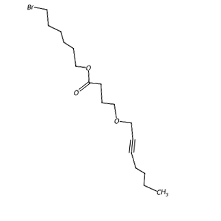 CCCCC#CCOCCCC(=O)OCCCCCCBr